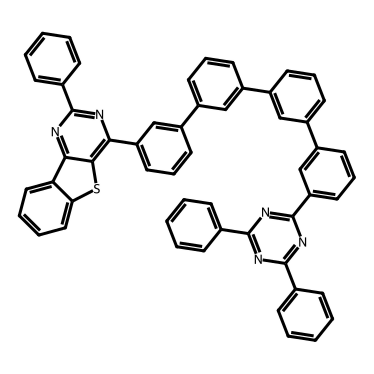 c1ccc(-c2nc(-c3ccccc3)nc(-c3cccc(-c4cccc(-c5cccc(-c6cccc(-c7nc(-c8ccccc8)nc8c7sc7ccccc78)c6)c5)c4)c3)n2)cc1